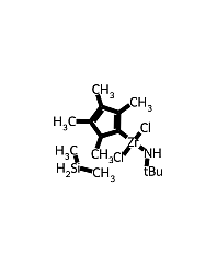 CC1=C(C)C(C)[C]([Zr]([Cl])([Cl])[NH]C(C)(C)C)=C1C.C[SiH2]C